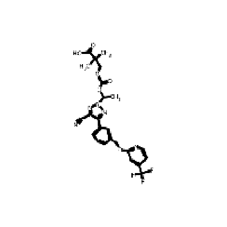 CC(OC(=O)OCC(C)(C)C(=O)O)n1nc(C#N)c(-c2cccc(COc3cc(C(F)(F)F)ccn3)c2)n1